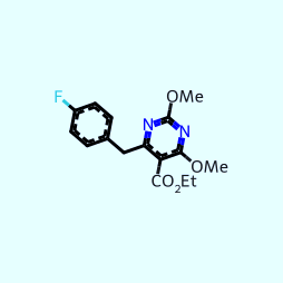 CCOC(=O)c1c(Cc2ccc(F)cc2)nc(OC)nc1OC